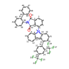 O=C1c2cccc(-n3c4ccccc4c4c(-c5ccc(C(F)(F)F)cc5C(F)(F)F)cccc43)c2C(=O)N1c1ccccc1-c1ccccc1